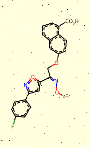 CCCON=C(COc1ccc2c(C(=O)O)cccc2c1)c1cc(-c2ccc(F)cc2)no1